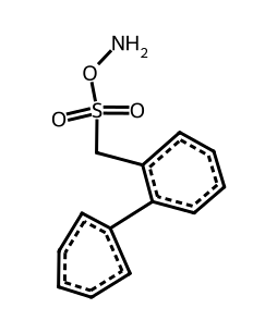 NOS(=O)(=O)Cc1ccccc1-c1ccccc1